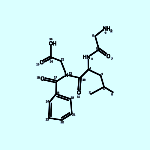 CC(C)CC(NC(=O)CN)C(=O)N(CC(=O)O)C(=O)c1ccccc1